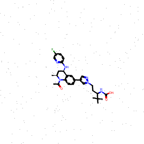 CC(=O)N1c2ccc(-c3cnn(CCC(NC(=O)O)C(C)(C)C)c3)cc2[C@H](Nc2ccc(F)cn2)C[C@@H]1C